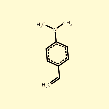 C=Cc1ccc(N(C)C)cc1